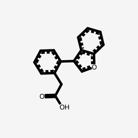 O=C(O)Cc1ccccc1-c1coc2ccccc12